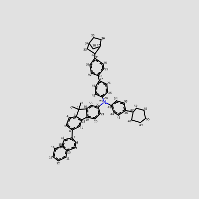 CC1(C)c2ccc(-c3ccc4ccccc4c3)cc2-c2ccc(N(c3ccc(-c4ccc(C5CC6CCC5C6)cc4)cc3)c3ccc(C4CCCCC4)cc3)cc21